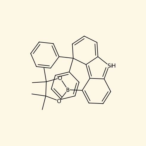 CC1(C)OB(c2cccc3c2=C2C(=CC=CC2(c2ccccc2)c2ccccc2)[SiH]=3)OC1(C)C